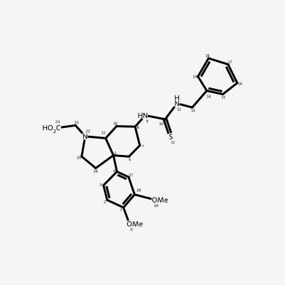 COc1ccc(C23CCC(NC(=S)NCc4ccccc4)CC2N(CC(=O)O)CC3)cc1OC